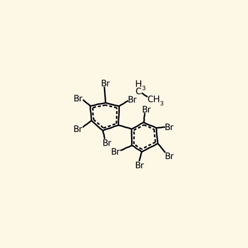 Brc1c(Br)c(Br)c(-c2c(Br)c(Br)c(Br)c(Br)c2Br)c(Br)c1Br.CC